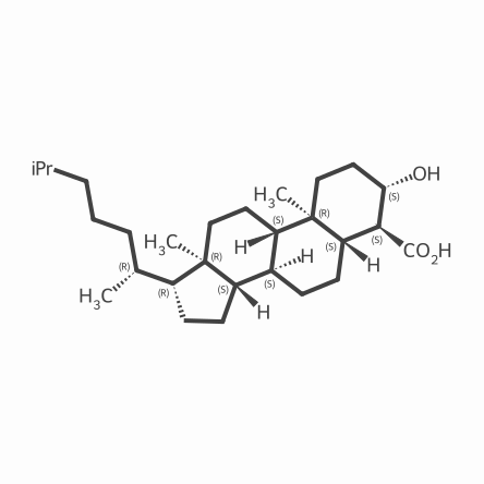 CC(C)CCC[C@@H](C)[C@H]1CC[C@H]2[C@@H]3CC[C@H]4[C@H](C(=O)O)[C@@H](O)CC[C@]4(C)[C@H]3CC[C@]12C